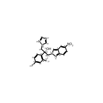 C[C@@H](n1cc2cc([N+](=O)[O-])ccc2n1)[C@](O)(Cn1cncn1)c1ccc(F)cc1F